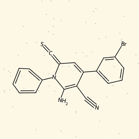 N#CC1=C(N)N(c2ccccc2)C(=C=S)C=C1c1cccc(Br)c1